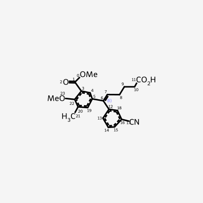 COC(=O)c1cc(/C(=C/CCCC(=O)O)c2cccc(C#N)c2)cc(C)c1OC